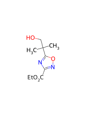 CCOC(=O)c1noc(C(C)(C)CO)n1